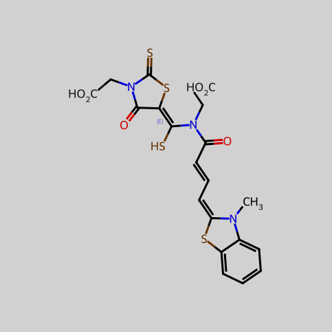 CN1C(=CC=CC(=O)N(CC(=O)O)/C(S)=C2\SC(=S)N(CC(=O)O)C2=O)Sc2ccccc21